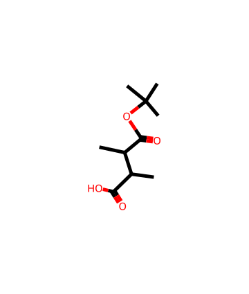 CC(C(=O)O)C(C)C(=O)OC(C)(C)C